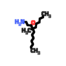 CCCCCCCC(C)(CCCCCC)C(=O)CCN